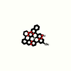 CC(C)(C)c1cc(-c2ccccc2N(c2ccccc2-c2cccc3ccccc23)c2ccccc2-c2cccc3cccc(C4CCCCC4)c23)cc(C(C)(C)C)c1